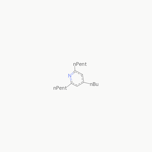 [CH2]CCCc1cc(CCCCC)nc(CCCCC)c1